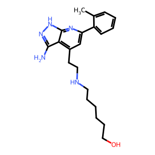 Cc1ccccc1-c1cc(CCNCCCCCCO)c2c(N)n[nH]c2n1